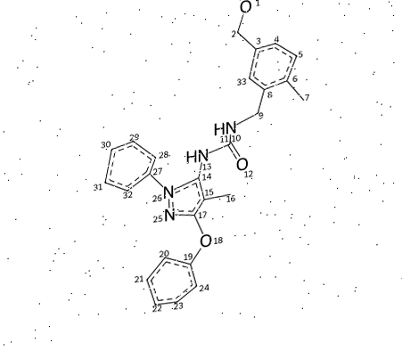 COCc1ccc(C)c(CNC(=O)Nc2c(C)c(Oc3ccccc3)nn2-c2ccccc2)c1